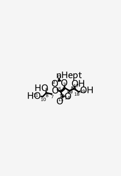 CCCCCCCC(=O)OC1=C(OCC(O)CO)C(=O)O[C@@H]1[C@@H](O)CO